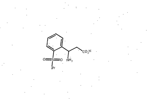 CC(C)S(=O)(=O)c1ccccc1C(N)CC(=O)O